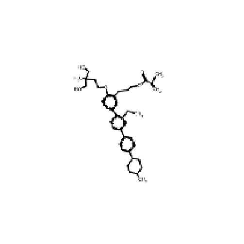 C=C(C)C(=O)OCCCc1cc(-c2ccc(-c3ccc(C4CCC(C)CC4)cc3)cc2CC)ccc1OCCC(C)(CO)CO